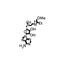 CCC(COC)NCCN(C)C[C@H]1O[C@@H](n2cnc3c(N)ncnc32)[C@H](O)[C@@H]1O